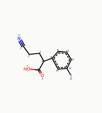 N#CCCC(C(=O)O)c1cccc(I)c1